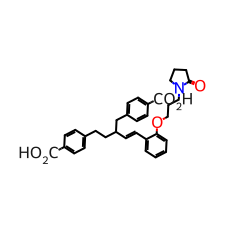 O=C(O)c1ccc(CCC(C=Cc2ccccc2OCCCN2CCCC2=O)Cc2ccc(C(=O)O)cc2)cc1